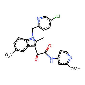 COc1cc(NC(=O)C(=O)c2c(C)n(Cc3ccc(Cl)cn3)c3ccc([N+](=O)[O-])cc23)ccn1